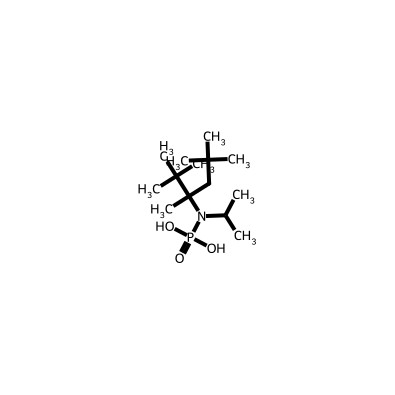 CC(C)N(C(C)(CC(C)(C)C)C(C)(C)C)P(=O)(O)O